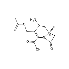 CC(=O)OCC1=C(C(=O)O)N2C(=O)C[C@H]2SC1N